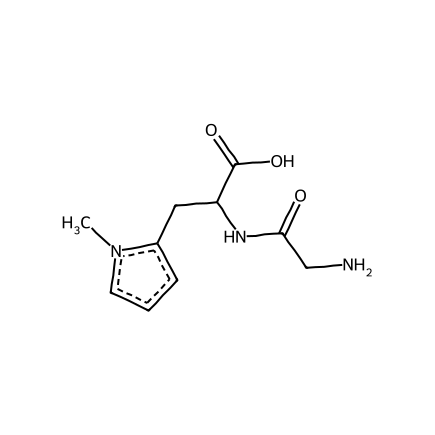 Cn1cccc1CC(NC(=O)CN)C(=O)O